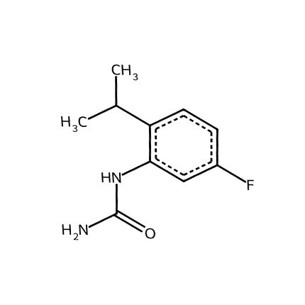 CC(C)c1ccc(F)cc1NC(N)=O